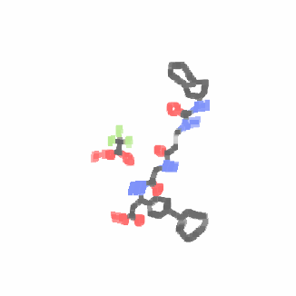 O=C(O)C(F)(F)F.O=C(O)CC(NC(=O)CNC(=O)CCNC(=O)Nc1ccc2ccccc2c1)c1ccc(-c2ccccc2)cc1